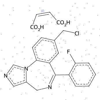 Fc1ccccc1C1=NCc2cncn2-c2ccc(CCl)cc21.O=C(O)/C=C\C(=O)O